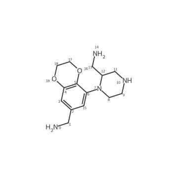 NCc1cc2c(c(N3CCNCC3CN)c1)OCCO2